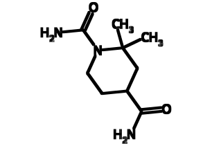 CC1(C)CC(C(N)=O)CCN1C(N)=O